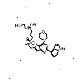 CCCN(CCO)CCCS(=O)(=O)N(C)Cc1cc2nc(-c3cccc4[nH]ccc34)nc(N3CCOCC3)c2s1